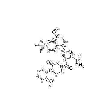 COc1ccccc1N1CCN(C(=O)c2nc(-c3ccc(OC)c4nc(C(F)(F)F)ccc34)oc2[C@H](C)N)CC1=O